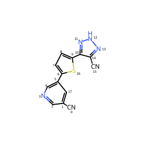 N#Cc1cncc(-c2ccc(-c3n[nH]nc3C#N)s2)c1